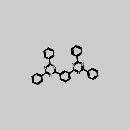 c1ccc(-c2nc(-c3ccccc3)nc(-c3cccc(-c4nc(-c5ccccc5)nc(-c5ccccc5)n4)c3)n2)cc1